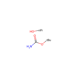 CC(C)(C)OC(N)=O.CCCO